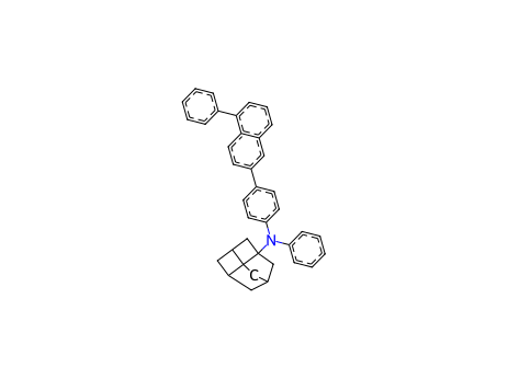 c1ccc(-c2cccc3cc(-c4ccc(N(c5ccccc5)C56CC7CC8CC(C5)C86C7)cc4)ccc23)cc1